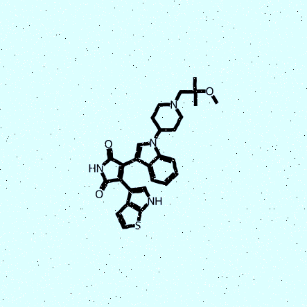 COC(C)(C)CN1CCC(n2cc(C3=C(c4c[nH]c5sccc45)C(=O)NC3=O)c3ccccc32)CC1